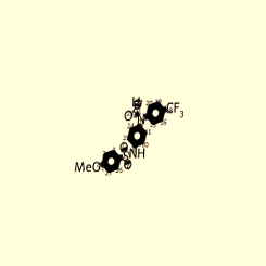 COc1ccc(S(=O)(=O)Nc2ccc(N(c3ccc(C(F)(F)F)cc3)[SH](=O)=O)cc2)cc1